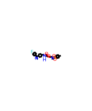 Cc1ccc(S(=O)(=O)N(C)CCOCC(=O)NCC2CCC(C(c3ccc(F)cc3)N(C)C)CC2)cc1